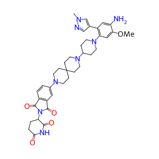 COc1cc(N2CCC(N3CCC4(CCN(c5ccc6c(c5)C(=O)N(C5CCC(=O)NC5=O)C6=O)CC4)CC3)CC2)c(-c2cnn(C)c2)cc1N